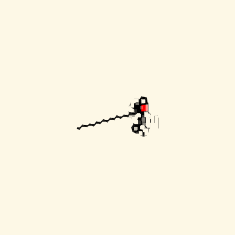 CCCCCCCCCCCCCCCCCCN1C(C(Br)C(=O)Nc2ccccc2OC)=Nc2ccccc2S1(=O)=O